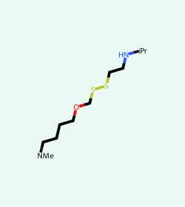 CNCCCCOCSSCCNC(C)C